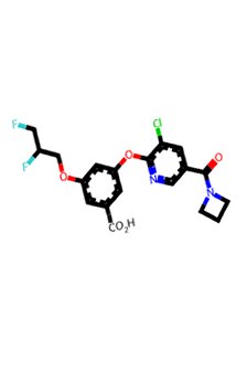 O=C(O)c1cc(OCC(F)CF)cc(Oc2ncc(C(=O)N3CCC3)cc2Cl)c1